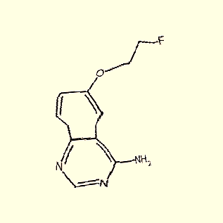 Nc1ncnc2ccc(OCCF)cc12